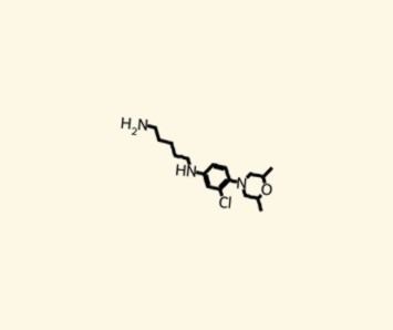 CC1CN(c2ccc(NCCCCCN)cc2Cl)CC(C)O1